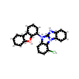 Clc1cccc2c1n1c3ccccc3nc1n2-c1cccc2c1oc1ccccc12